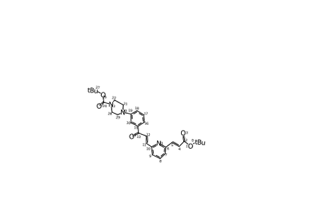 CC(C)(C)OC(=O)/C=C/c1cccc(/C=C/C(=O)c2cccc(N3CCN(C(=O)OC(C)(C)C)CC3)c2)n1